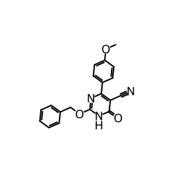 COc1ccc(-c2nc(OCc3ccccc3)[nH]c(=O)c2C#N)cc1